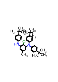 Cc1cc(Nc2ccc(C(C)(C)C)cc2)c(Cl)c(N(c2ccc(C(C)(C)C)cc2)c2ccc(C(C)(C)C)cc2)c1